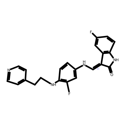 O=C1Nc2ccc(F)cc2/C1=C\Nc1ccc(NCCc2ccncc2)c(F)c1